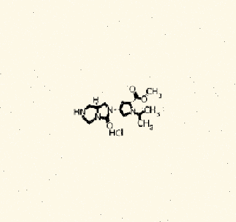 COC(=O)[C@H]1C[C@@H](N2C[C@@H]3CNCCN3C2=O)CN1C(C)C.Cl